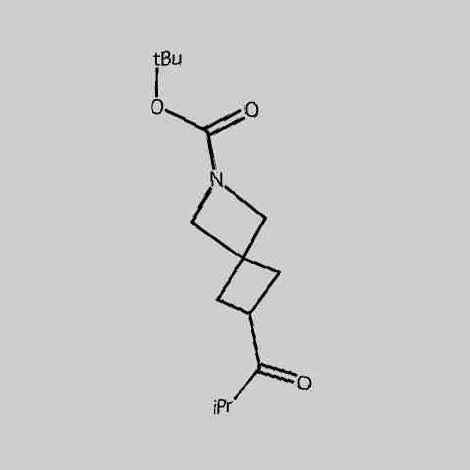 CC(C)C(=O)C1CC2(C1)CN(C(=O)OC(C)(C)C)C2